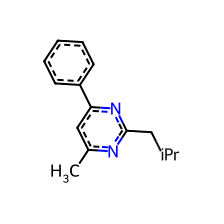 Cc1cc(-c2ccccc2)nc(CC(C)C)n1